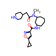 CN(C(=O)CC1CCNCC1)C1CCCCC(NC(=O)c2cc(C3CC3)on2)C1